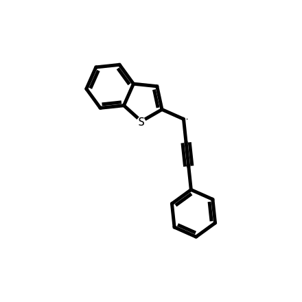 C(#Cc1ccccc1)[CH]c1cc2ccccc2s1